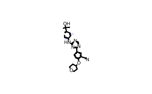 C=C(/C=C\C(=C/C)Nc1ncnc(-c2ccc(OC3CCOCC3)c(C#N)c2)n1)C(C)(C)O